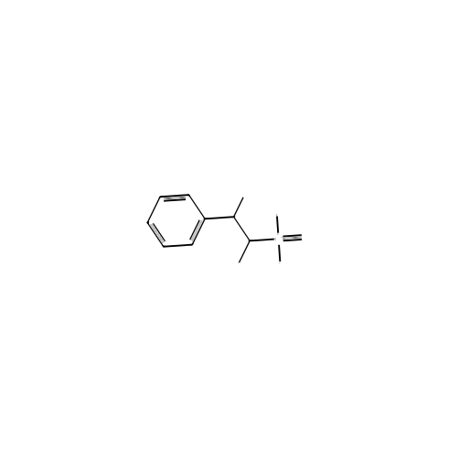 O=P(O)(O)C(Cl)C(Cl)c1ccccc1